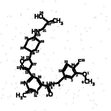 COc1cc(CNC(=O)c2cc(C3=NOC(C4CCC(NC[C@H](C)O)CC4)C3)nc(C)n2)ccc1F